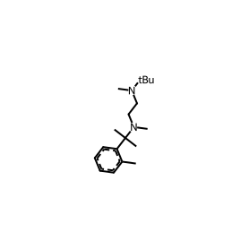 Cc1ccccc1C(C)(C)N(C)CCN(C)C(C)(C)C